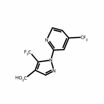 O=C(O)c1cnn(-c2cc(C(F)(F)F)ccn2)c1C(F)(F)F